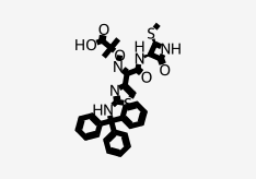 CS[C@H]1NC(=O)[C@H]1NC(=O)C(=NOC(C)(C)C(=O)O)c1csc(NC(c2ccccc2)(c2ccccc2)c2ccccc2)n1